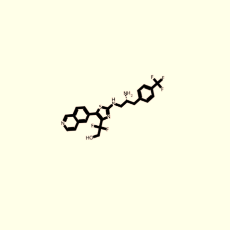 N[C@@H](CNc1nc(C(F)(F)CO)c(-c2ccc3cnccc3c2)s1)Cc1ccc(C(F)(F)F)cc1